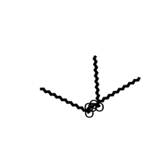 CCCCCCCCCCCCCCCCCC(=O)OOOC(=O)C(CCCCCCCCCCCCCCCC)CCCCCCCCCCCCCCCC